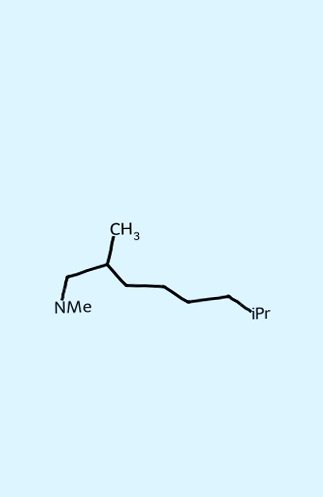 CNCC(C)CCCCC(C)C